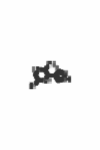 CC(C)C1CNC(C)C(c2cn[nH]c2)N1